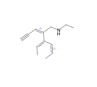 C#C/C=C(/CNCC)C(=CC)/C=C\C